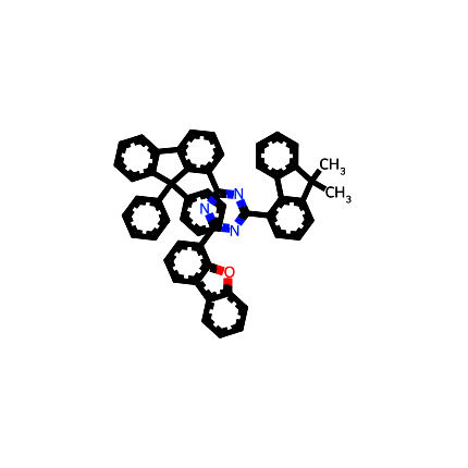 CC1(C)c2ccccc2-c2c(-c3nc(-c4cccc5c4C(c4ccccc4)(c4ccccc4)c4ccccc4-5)nc(-c4cccc5c4oc4ccccc45)n3)cccc21